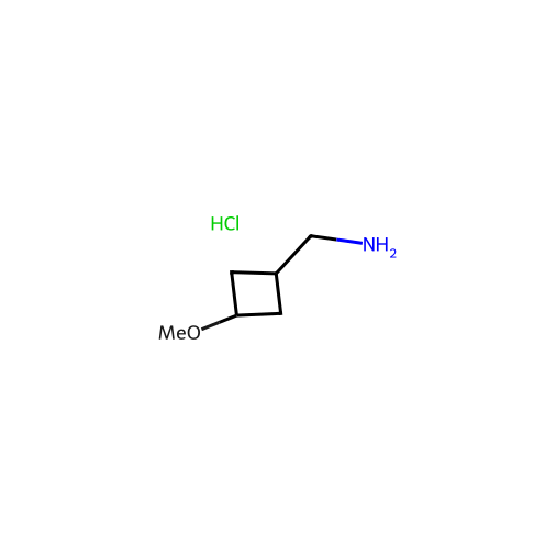 COC1CC(CN)C1.Cl